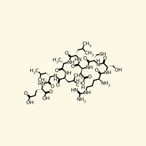 CC(C)C[C@H](NC(=O)[C@H](C)NC(=O)[C@H](CC(C)C)NC(=O)[C@H](CC(=O)O)NC(=O)[C@H](CS)NC(=O)[C@H](CO)NC(=O)[C@@H](N)CCCNC(=N)N)C(=O)N[C@@H](CC(C)C)C(=O)N[C@@H](CCC(=O)O)C(=O)O